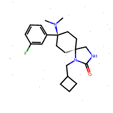 CN(C)[C@]1(c2cccc(F)c2)CC[C@]2(CC1)CNC(=O)N2CC1CCC1